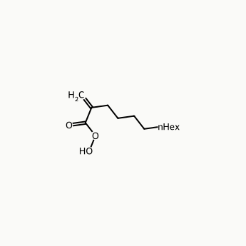 C=C(CCCCCCCCCC)C(=O)OO